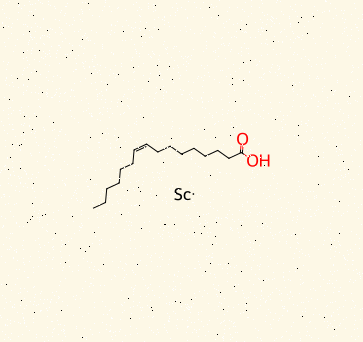 CCCCCC/C=C\CCCCCCCC(=O)O.[Sc]